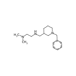 CN(C)CCNCC1CCCN(Cc2ccccc2)C1